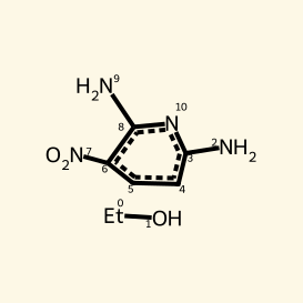 CCO.Nc1ccc([N+](=O)[O-])c(N)n1